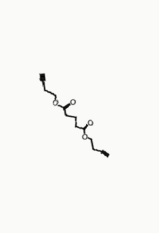 C#CCCOC(=O)CCCC(=O)OCCC#C